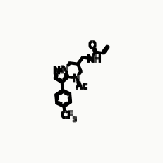 C=CC(=O)NCC1CN(C(C)=O)c2c(-c3ccc(C(F)(F)F)cc3)cnn2C1